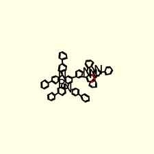 c1ccc(-c2ccc(N3c4ccc(-c5ccccc5)cc4B4c5cc(-c6ccccc6)ccc5N(c5ccc(-c6ccccc6)cc5)c5cc(-c6ccc7c(c6)c6ccccc6n7-c6ccccc6-c6nc(-c7ccccc7)cc(-c7ccccc7)n6)cc3c54)cc2)cc1